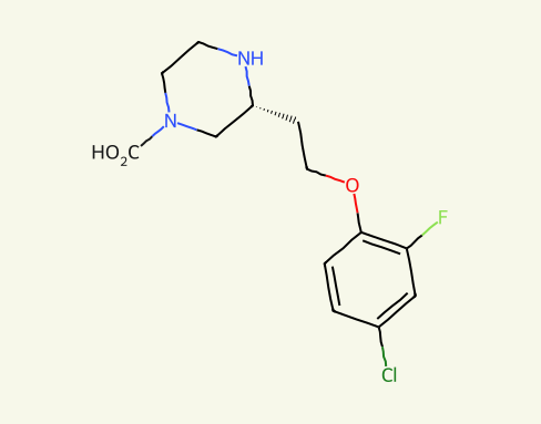 O=C(O)N1CCN[C@H](CCOc2ccc(Cl)cc2F)C1